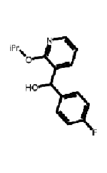 CC(C)Oc1ncccc1C(O)c1ccc(F)cc1